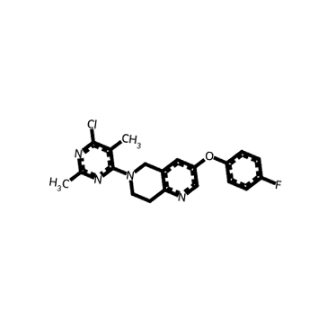 Cc1nc(Cl)c(C)c(N2CCc3ncc(Oc4ccc(F)cc4)cc3C2)n1